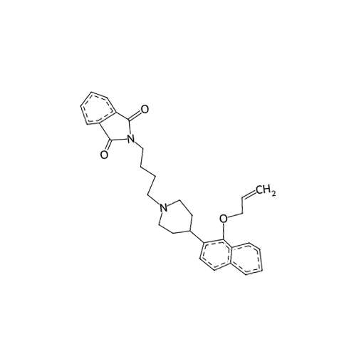 C=CCOc1c(C2CCN(CCCCN3C(=O)c4ccccc4C3=O)CC2)ccc2ccccc12